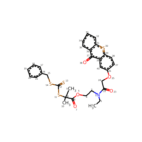 CCN(CCOC(=O)C(C)(C)SC(=S)SCc1ccccc1)C(=O)COc1ccc2sc3ccccc3c(=O)c2c1